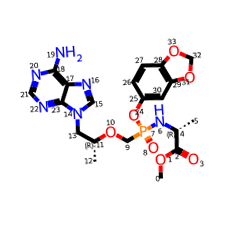 COC(=O)[C@@H](C)NP(=O)(CO[C@H](C)Cn1cnc2c(N)ncnc21)Oc1ccc2c(c1)OCO2